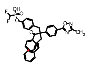 Cc1noc(-c2ccc(C(CC=Cc3ccccc3)(Cc3ccc(OP(=O)(O)C(F)F)cc3)C(=O)c3ccccc3)cc2)n1